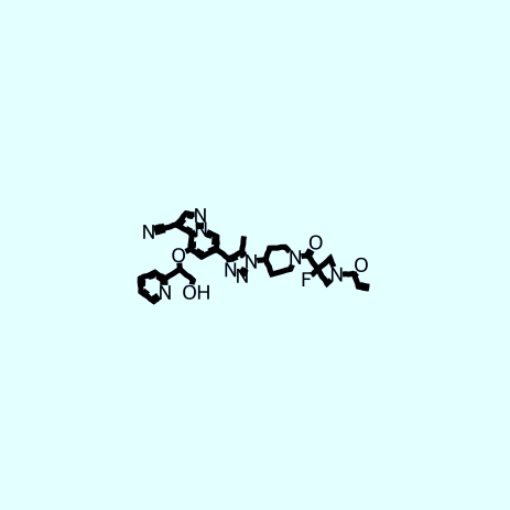 C=CC(=O)N1CC(F)(C(=O)N2CCC(n3nnc(-c4cc(OC(CO)c5ccccn5)c5c(C#N)cnn5c4)c3C)CC2)C1